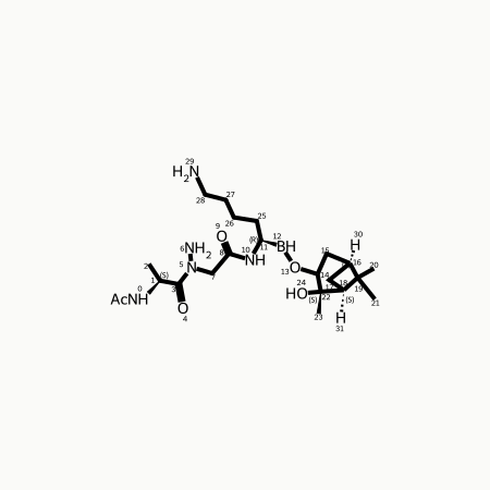 CC(=O)N[C@@H](C)C(=O)N(N)CC(=O)N[C@H](BOC1C[C@@H]2C[C@@H](C2(C)C)[C@]1(C)O)CCCCN